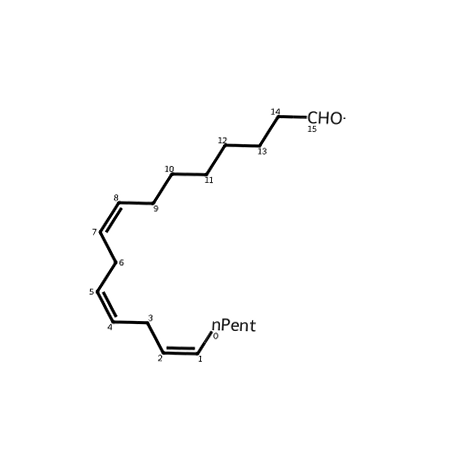 CCCCC/C=C\C/C=C\C/C=C\CCCCCC[C]=O